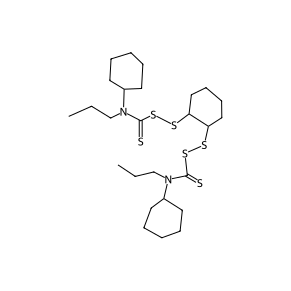 CCCN(C(=S)SSC1CCCCC1SSC(=S)N(CCC)C1CCCCC1)C1CCCCC1